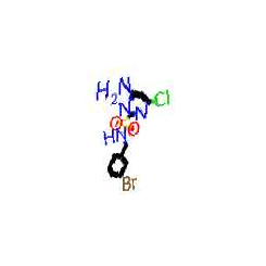 Nc1cc(Cl)nc(S(=O)(=O)NCc2cccc(Br)c2)n1